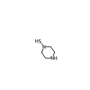 SN1CCNCC1